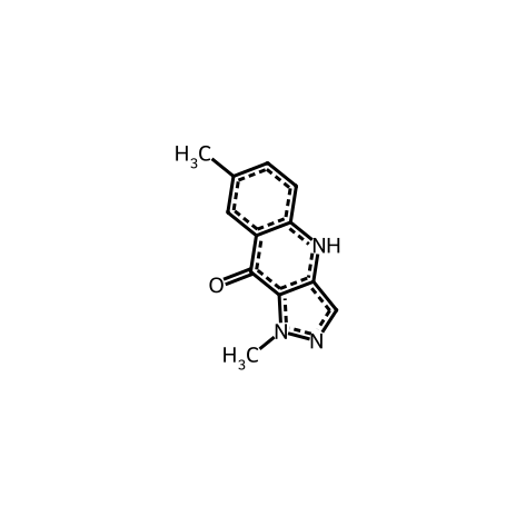 Cc1ccc2[nH]c3cnn(C)c3c(=O)c2c1